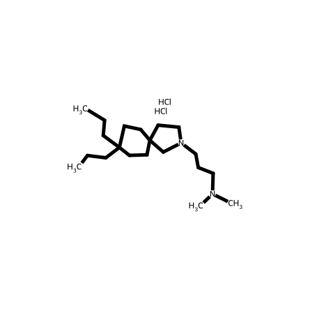 CCCC1(CCC)CCC2(CCN(CCCN(C)C)C2)CC1.Cl.Cl